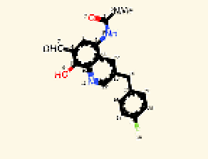 CNC(=O)Nc1cc(C=O)c(O)c2ncc(Cc3ccc(F)cc3)cc12